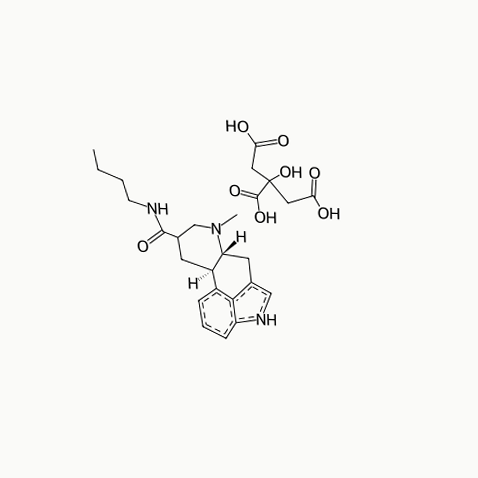 CCCCNC(=O)C1C[C@@H]2c3cccc4[nH]cc(c34)C[C@H]2N(C)C1.O=C(O)CC(O)(CC(=O)O)C(=O)O